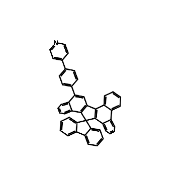 c1ccc2c(c1)-c1ccccc1C21c2c(cc(-c3ccc(-c4ccncc4)cc3)c3ccccc23)-c2c1c1ccccc1c1ccccc21